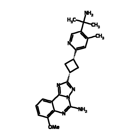 COc1cccc2c1nc(N)n1nc([C@H]3C[C@@H](c4cc(C)c(C(C)(C)N)cn4)C3)nc21